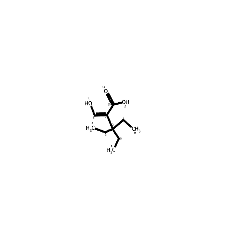 CCC(CC)(CC)C(=CO)C(=O)O